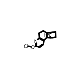 ClOc1ccc2c(n1)CCC1C3CCC(N3)C21